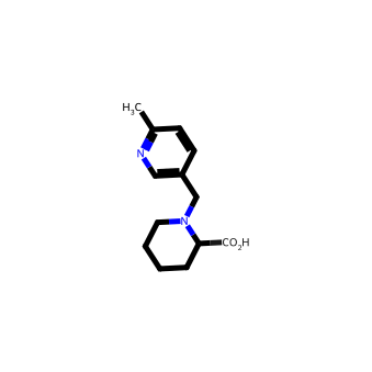 Cc1ccc(CN2CCCCC2C(=O)O)cn1